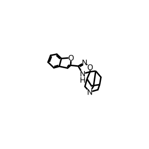 c1ccc2oc(C3=NOC4(N3)C3CC5CC4CN(C5)C3)cc2c1